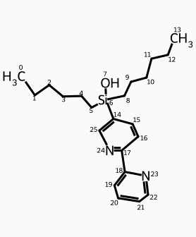 CCCCCC[Si](O)(CCCCCC)c1ccc(-c2ccccn2)nc1